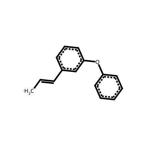 [CH2]C=Cc1cccc(Oc2ccccc2)c1